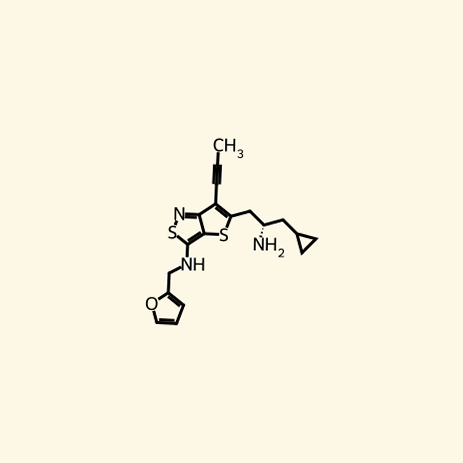 CC#Cc1c(C[C@@H](N)CC2CC2)sc2c(NCc3ccco3)snc12